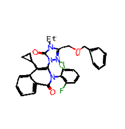 CCn1c(COCc2ccccc2)nn(-c2c(C3CC3)c3ccccc3c(=O)n2-c2c(F)cccc2Cl)c1=O